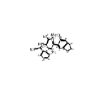 CCc1nc(-c2cc3c(cc2OC)CCC3)c(CC)nc1NC(CC)c1ccccc1